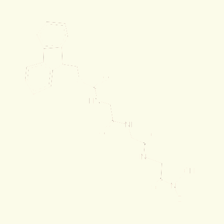 CCN(C)C(=O)CNC(=O)CNC(=O)CNC(=O)OCC1c2ccccc2-c2ccccc21